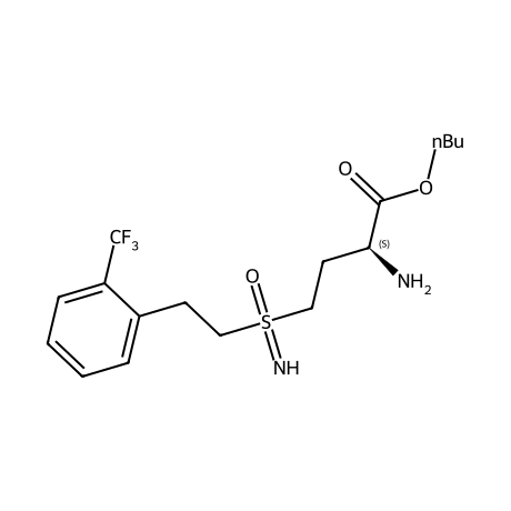 CCCCOC(=O)[C@@H](N)CCS(=N)(=O)CCc1ccccc1C(F)(F)F